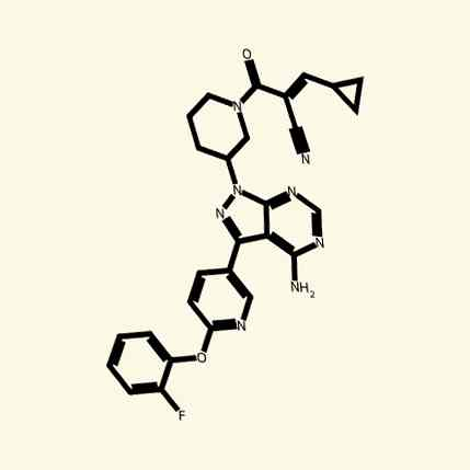 N#CC(=CC1CC1)C(=O)N1CCCC(n2nc(-c3ccc(Oc4ccccc4F)nc3)c3c(N)ncnc32)C1